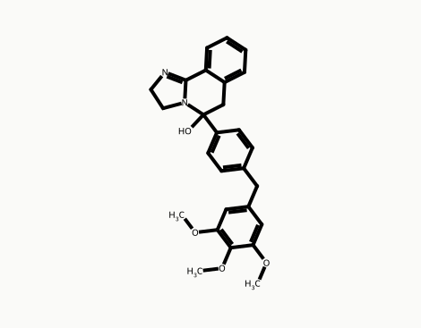 COc1cc(Cc2ccc(C3(O)Cc4ccccc4C4=NCCN43)cc2)cc(OC)c1OC